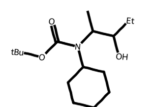 CCC(O)C(C)N(C(=O)OC(C)(C)C)C1CCCCC1